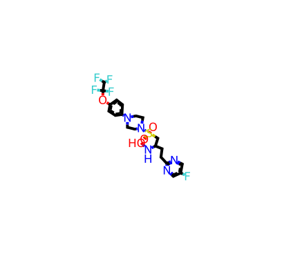 O=S(=O)(CC(CCc1ncc(F)cn1)NO)N1CCN(c2ccc(OC(F)(F)C(F)F)cc2)CC1